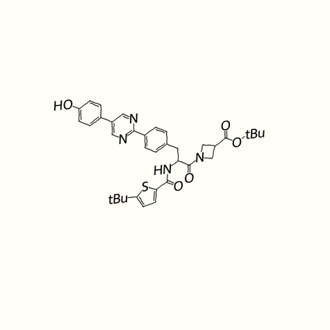 CC(C)(C)OC(=O)C1CN(C(=O)C(Cc2ccc(-c3ncc(-c4ccc(O)cc4)cn3)cc2)NC(=O)c2ccc(C(C)(C)C)s2)C1